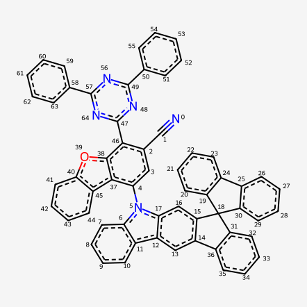 N#Cc1cc(-n2c3ccccc3c3cc4c(cc32)C2(c3ccccc3-c3ccccc32)c2ccccc2-4)c2c(oc3ccccc32)c1-c1nc(-c2ccccc2)nc(-c2ccccc2)n1